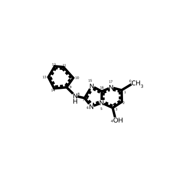 Cc1cc(O)n2nc(Nc3ccccc3)nc2n1